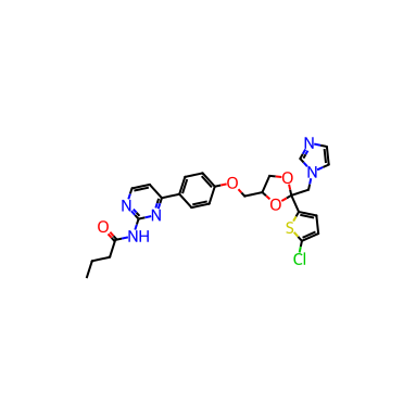 CCCC(=O)Nc1nccc(-c2ccc(OCC3COC(Cn4ccnc4)(c4ccc(Cl)s4)O3)cc2)n1